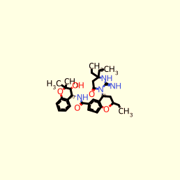 CCC1C[C@@H](N2C(=N)NC(CC)(CC)CC2=O)c2cc(C(=O)N[C@@H]3c4ccccc4OC(C)(C)C3O)ccc2O1